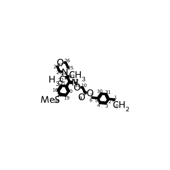 C=Cc1ccc(COC(=O)CO/N=C(\c2ccc(SC)cc2)C(C)(C)N2CCOCC2)cc1